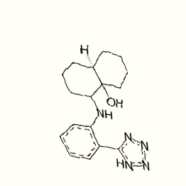 OC12CCCC[C@@H]1CCCC2Nc1ccccc1-c1nnn[nH]1